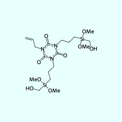 C=CCn1c(=O)n(CCC[Si](CO)(OC)OC)c(=O)n(CCC[Si](CO)(OC)OC)c1=O